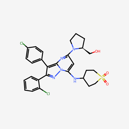 O=S1(=O)CCC(Nc2cc(N3CCC[C@H]3CO)nc3c(-c4ccc(Cl)cc4)c(-c4ccccc4Cl)nn23)CC1